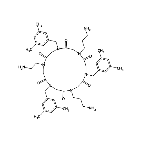 Cc1cc(C)cc(CN2CC(=O)N(CCN)CC(=O)N(Cc3cc(C)cc(C)c3)CC(=O)N(CCCN)CC(=O)N(Cc3cc(C)cc(C)c3)CC(=O)N(CCCN)CC2=O)c1